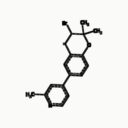 Cc1cc(-c2ccc3c(c2)[C]C(Br)C(C)(C)O3)ccn1